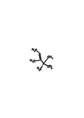 C/[C]=C(\C)C(C)(C)C